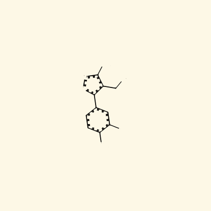 Cc1ccc(-c2onc(C)c2CO)cc1C